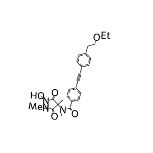 CCOCCc1ccc(C#Cc2ccc(C(=O)N(C)C(C)(C(=O)NC)C(=O)NO)cc2)cc1